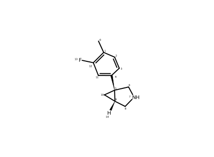 Cc1ccc([C@@]23CNC[C@@H]2C3)cc1F